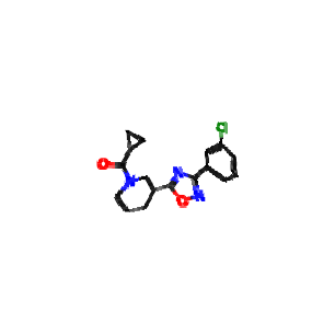 O=C(C1CC1)N1CCCC(c2nc(-c3cccc(Cl)c3)no2)C1